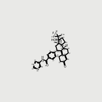 C[C@]12C[C@H](c3ccc(C(=O)Nc4cccnc4)cc3)C3=C4CCC(=O)C=C4CC[C@H]3[C@@H]1CC[C@@]2(O)C(F)(F)C(F)(F)F